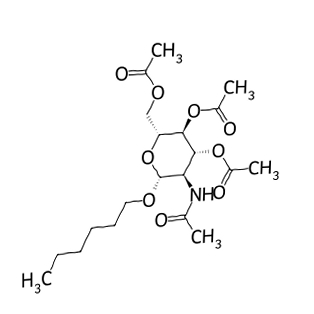 CCCCCCO[C@@H]1O[C@H](COC(C)=O)[C@@H](OC(C)=O)[C@H](OC(C)=O)[C@H]1NC(C)=O